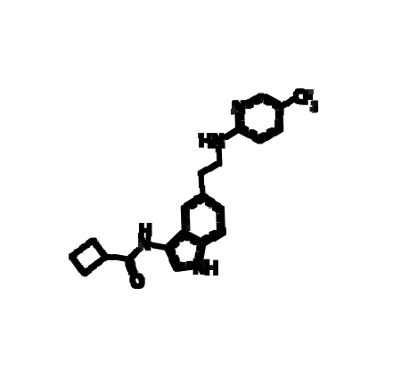 O=C(Nc1c[nH]c2ccc(CCNc3ccc(C(F)(F)F)cn3)cc12)C1CCC1